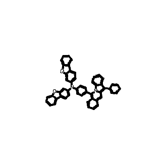 c1ccc(-c2c3ccccc3n3c(-c4ccc(N(c5ccc6c(c5)oc5ccccc56)c5ccc6c(c5)oc5ccccc56)cc4)c4ccccc4cc23)cc1